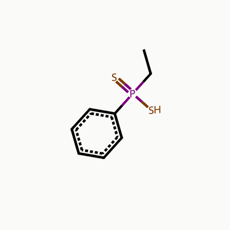 CCP(=S)(S)c1ccccc1